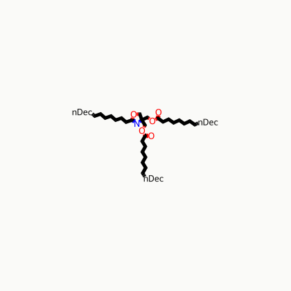 CCCCCCCCCCCCCCCCCC(=O)OCC1(COC(=O)CCCCCCCCCCCCCCCCC)COC(CCCCCCCCCCCCCCCCC)=N1